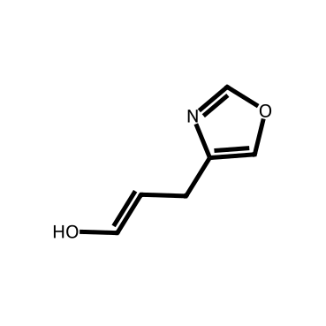 OC=CCc1cocn1